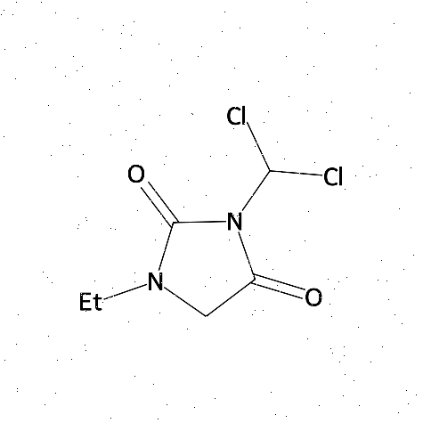 CCN1CC(=O)N(C(Cl)Cl)C1=O